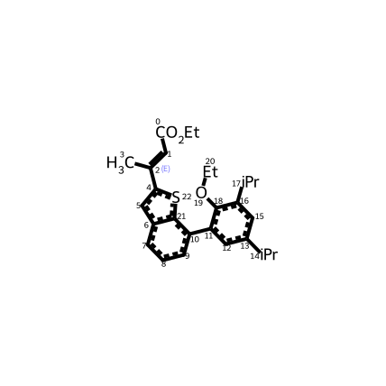 CCOC(=O)/C=C(\C)c1cc2cccc(-c3cc(C(C)C)cc(C(C)C)c3OCC)c2s1